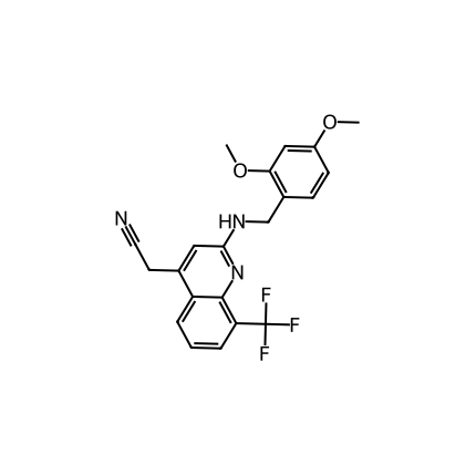 COc1ccc(CNc2cc(CC#N)c3cccc(C(F)(F)F)c3n2)c(OC)c1